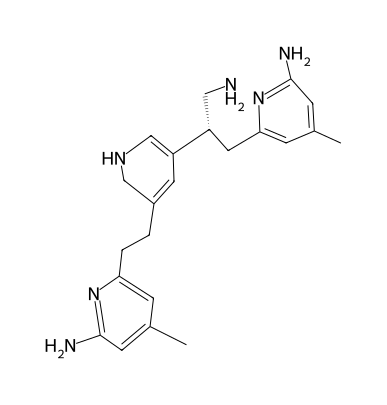 Cc1cc(N)nc(CCC2=CC([C@H](CN)Cc3cc(C)cc(N)n3)=CNC2)c1